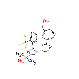 CC(C)(O)c1cn(-c2cccc(-c3cccc(CO)c3)c2)c(-c2ccccc2C(F)(F)F)n1